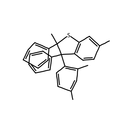 Cc1ccc(C2(c3ccccc3)c3ccc(C)cc3SC2(C)c2ccccc2)c(C)c1